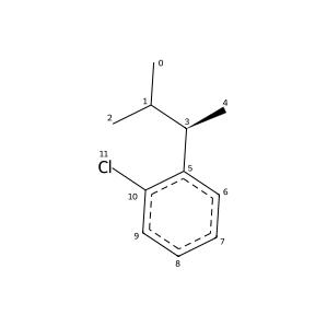 CC(C)[C@@H](C)c1ccccc1Cl